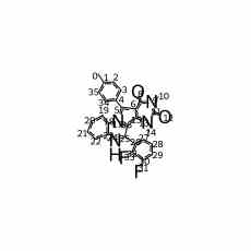 Cc1ccc(-c2c3c(=O)n(C)c(=O)n(C)c3c3n2-c2ccccc2NC3c2cccc(F)c2F)cc1